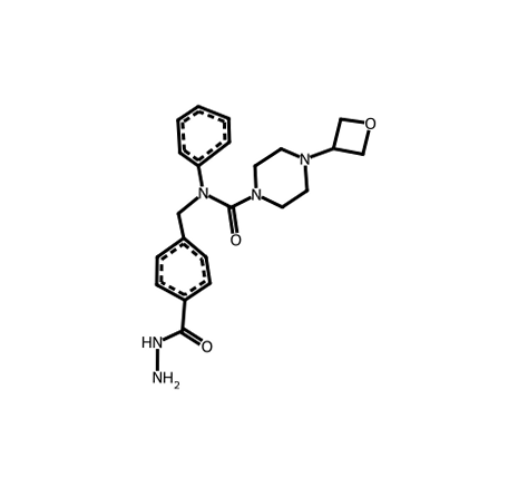 NNC(=O)c1ccc(CN(C(=O)N2CCN(C3COC3)CC2)c2ccccc2)cc1